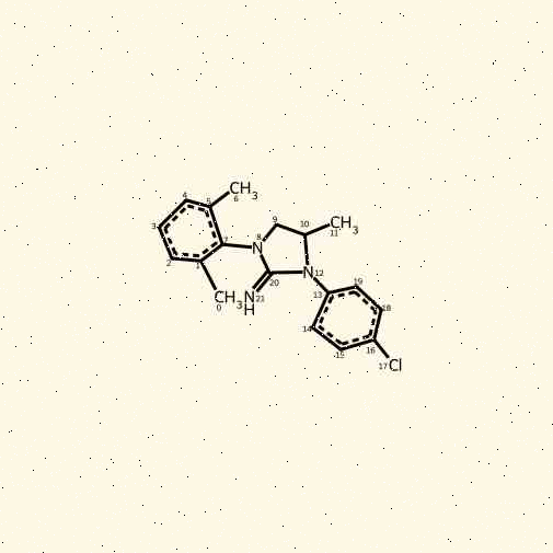 Cc1cccc(C)c1N1CC(C)N(c2ccc(Cl)cc2)C1=N